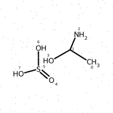 CC(N)O.O=S(O)O